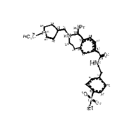 CCS(=O)(=O)c1ccc(CNC(=O)c2ccc3c(c2)CCN(CC2CCN(C(=O)O)CC2)C3C(C)C)cc1